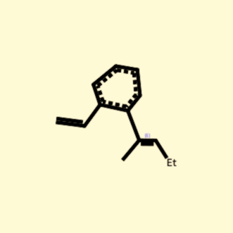 C=Cc1ccccc1/C(C)=C/CC